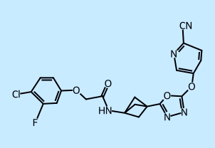 N#Cc1ccc(Oc2nnc(C34CC(NC(=O)COc5ccc(Cl)c(F)c5)(C3)C4)o2)cn1